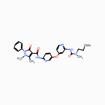 COCCN(C)C(=O)Nc1cc(Oc2ccc(NC(=O)c3c(C)n(C)n(-c4ccccc4)c3=O)nc2)ccn1